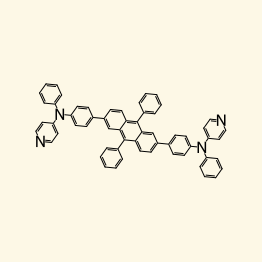 c1ccc(-c2c3ccc(-c4ccc(N(c5ccccc5)c5ccncc5)cc4)cc3c(-c3ccccc3)c3ccc(-c4ccc(N(c5ccccc5)c5ccncc5)cc4)cc23)cc1